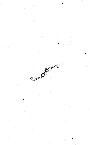 O=C(Cc1ncc(-c2ccc(OCCN3CCOCC3)cc2F)cn1)NCCC1CCCC1